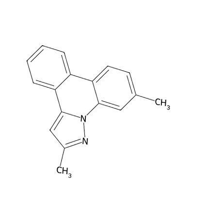 Cc1ccc2c3ccccc3c3cc(C)nn3c2c1